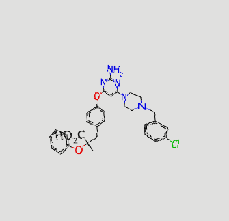 CC(Cc1ccc(Oc2cc(N3CCN(Cc4cccc(Cl)c4)CC3)nc(N)n2)cc1)(Oc1ccccc1)C(=O)O